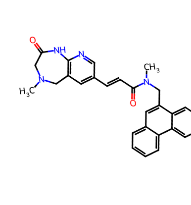 CN1CC(=O)Nc2ncc(C=CC(=O)N(C)Cc3cc4ccccc4c4ccccc34)cc2C1